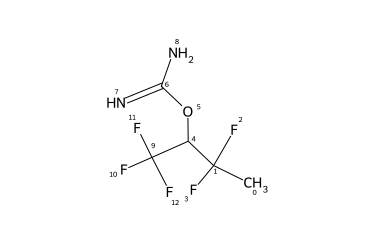 CC(F)(F)C(OC(=N)N)C(F)(F)F